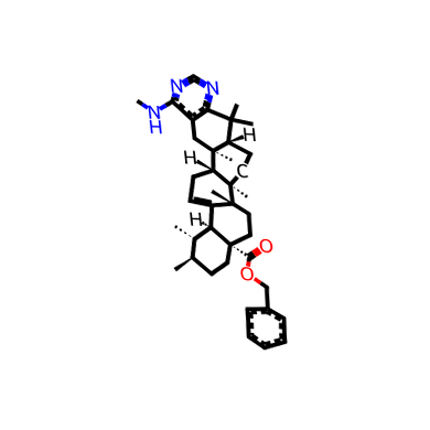 CNc1ncnc2c1C[C@]1(C)[C@H]3CC=C4[C@@H]5[C@@H](C)[C@H](C)CC[C@]5(C(=O)OCc5ccccc5)CC[C@@]4(C)[C@]3(C)CC[C@H]1C2(C)C